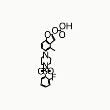 Cc1c(N2CCN(S(=O)(=O)c3ccccc3F)CC2)ccc2oc(OC(=O)O)cc12